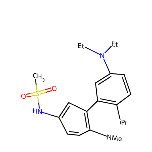 CCN(CC)c1ccc(C(C)C)c(-c2cc(NS(C)(=O)=O)ccc2NC)c1